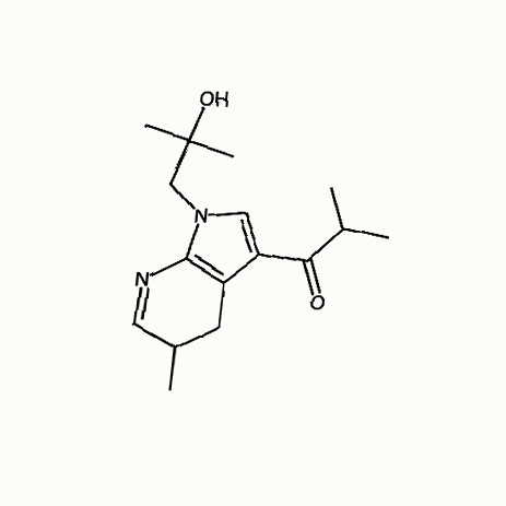 CC1C=Nc2c(c(C(=O)C(C)C)cn2CC(C)(C)O)C1